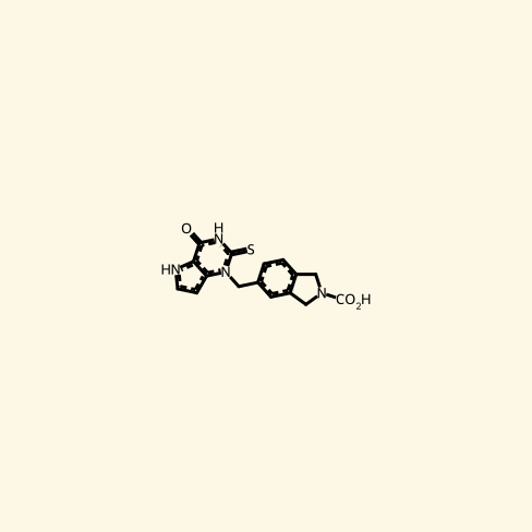 O=C(O)N1Cc2ccc(Cn3c(=S)[nH]c(=O)c4[nH]ccc43)cc2C1